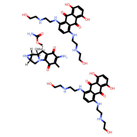 CO[C@@]12[C@H](COC(N)=O)C3=C(C(=O)C(C)=C(N)C3=O)N1C[C@@H]1N[C@@H]12.O=C1c2c(O)ccc(O)c2C(=O)c2c(NCCNCCO)ccc(NCCNCCO)c21.O=C1c2c(O)ccc(O)c2C(=O)c2c(NCCNCCO)ccc(NCCNCCO)c21